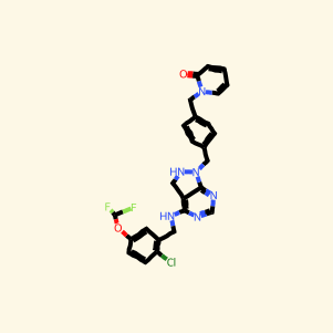 O=c1ccccn1Cc1ccc(CN2NCc3c(NCc4cc(OC(F)F)ccc4Cl)ncnc32)cc1